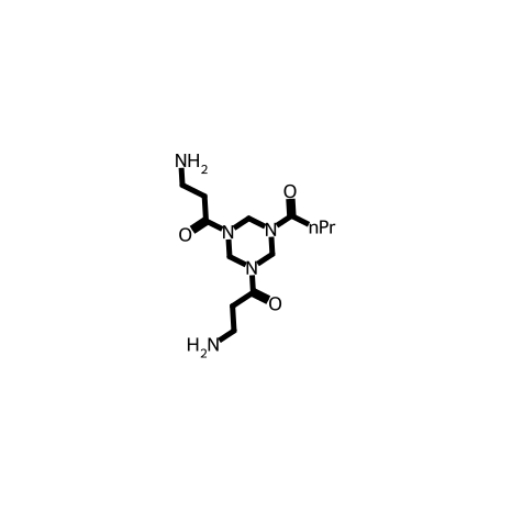 CCCC(=O)N1CN(C(=O)CCN)CN(C(=O)CCN)C1